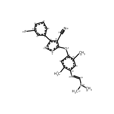 Cc1cc(Oc2snc(-c3cccc(F)c3)c2C#N)c(C)cc1N=CN(C)C